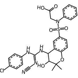 CC1(C)Oc2ccc(S(=O)(=O)N(CC(=O)O)c3ccccc3)cc2C(NC(=NC#N)Nc2ccc(Cl)cc2)C1O